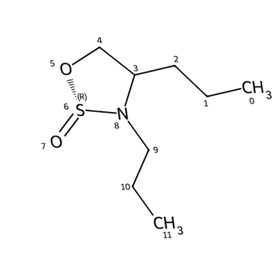 CCCC1CO[S@@](=O)N1CCC